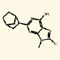 Cn1c(Cl)nc2c(N)nc(C3CC4CCC3C4)nc21